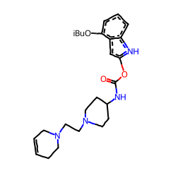 CC(C)COc1cccc2[nH]c(OC(=O)NC3CCN(CCN4CC=CCC4)CC3)cc12